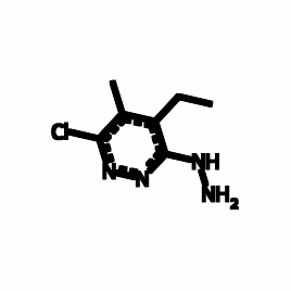 CCc1c(NN)nnc(Cl)c1C